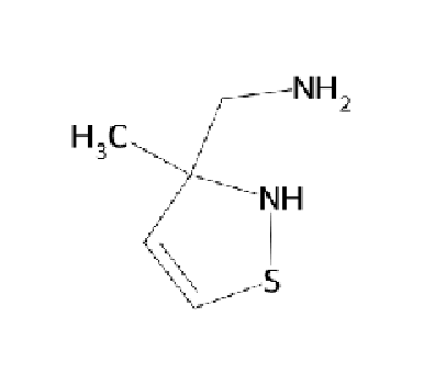 CC1(CN)C=CSN1